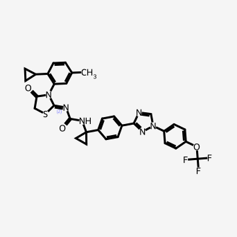 Cc1ccc(C2CC2)c(N2C(=O)CS/C2=N\C(=O)NC2(c3ccc(-c4ncn(-c5ccc(OC(F)(F)F)cc5)n4)cc3)CC2)c1